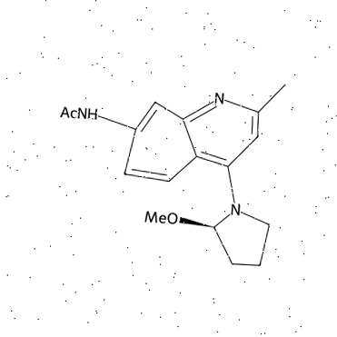 CO[C@@H]1CCCN1c1cc(C)nc2cc(NC(C)=O)ccc12